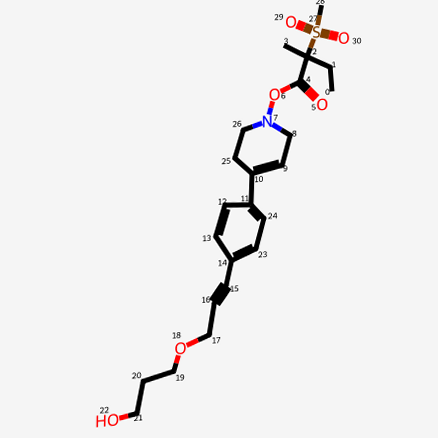 CCC(C)(C(=O)ON1CC=C(c2ccc(C#CCOCCCO)cc2)CC1)S(C)(=O)=O